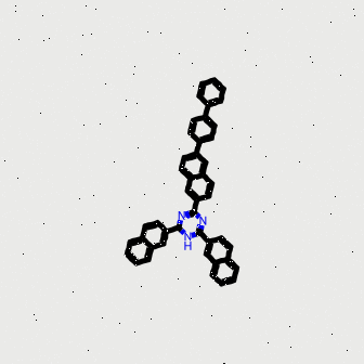 c1ccc(-c2ccc(-c3ccc4cc(C5=NC(c6ccc7ccccc7c6)NC(c6ccc7ccccc7c6)=N5)ccc4c3)cc2)cc1